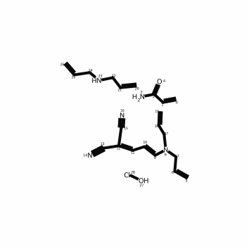 C=CC(N)=O.C=CCN(C=CC=C(C#N)C#N)CC=C.C=CCNCC=C.OCl